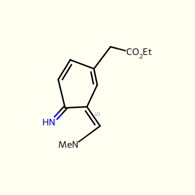 CCOC(=O)CC1=C/C(=C/NC)C(=N)C=C1